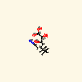 CC(C)(C)[Si](C)(C)[C@H](CC#N)CC(=O)C(O)C(=O)O